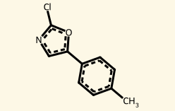 Cc1ccc(-c2cnc(Cl)o2)cc1